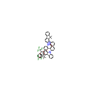 CC1(C)c2ccccc2-c2ccc3c(c21)c1ccccc1n3-c1ccc(-c2ccc(C(F)(F)F)cc2C(F)(F)F)cc1-c1c(C#N)cccc1-n1c2ccccc2c2c3c(ccc21)-c1ccccc1C3(C)C